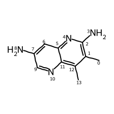 Cc1c(N)nc2cc(N)cnc2c1C